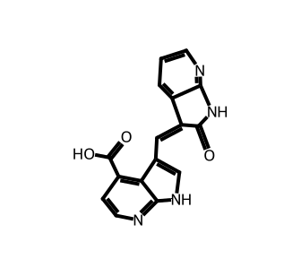 O=C1Nc2ncccc2C1=Cc1c[nH]c2nccc(C(=O)O)c12